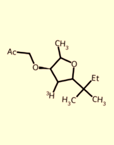 [3H]C1C(C(C)(C)CC)OC(C)[C@@H]1OCC(C)=O